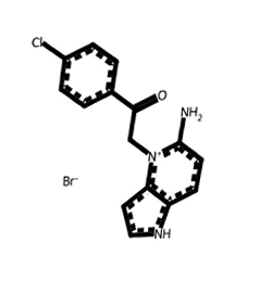 Nc1ccc2[nH]ccc2[n+]1CC(=O)c1ccc(Cl)cc1.[Br-]